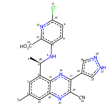 Cc1cc([C@@H](C)Nc2ccc(Cl)nc2C(=O)O)c2nc(-c3cn[nH]c3)c(C#N)nc2c1